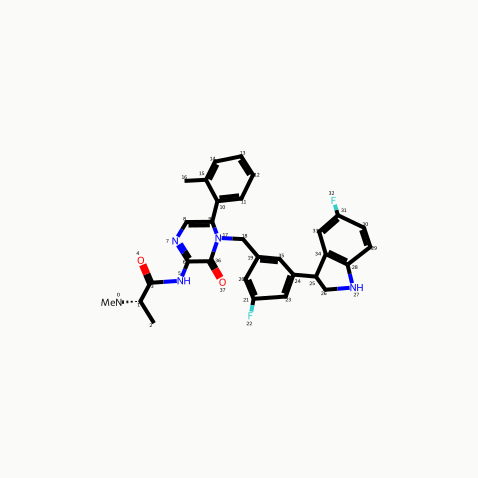 CN[C@@H](C)C(=O)Nc1ncc(-c2ccccc2C)n(Cc2cc(F)cc(C3CNc4ccc(F)cc43)c2)c1=O